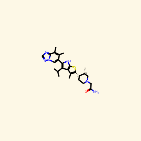 Cc1c(-c2[nH]c3sc([C@H]4CCN(CC(N)=O)C[C@H]4C)c(C)c3c2C(C)C)cn2ncnc2c1C